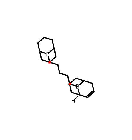 C1=C[C@H]2CCCC(C1)B2CCCCCP1C2CCCC1CCC2